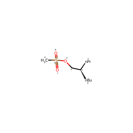 CCCC[C@H](CCC)COS(C)(=O)=O